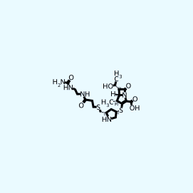 CC(O)[C@@H]1C(=O)N2C(C(=O)O)=C(S[C@@H]3CN[C@H](CSCCC(=O)NCCNC(N)=O)C3)[C@H](C)[C@H]12